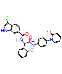 O=C(NC(C(=O)Nc1ccc(-n2ccccc2=O)cc1)c1ccccc1Cl)c1ccc2c(Cl)c[nH]c2c1